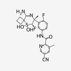 Cc1cc(C#N)cnc1C(=O)Nc1ccc(F)c([C@@]2(C)N=C(N)C3(CCC3)S(O)(O)[C@@H]2F)c1